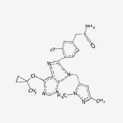 Cc1cc(Cn2c(-c3ccc(CC(N)=O)cc3Cl)nc3c(OC4(C)CC4)ncnc32)n(C)n1